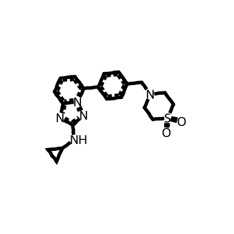 O=S1(=O)CCN(Cc2ccc(-c3cccc4nc(NC5CC5)nn34)cc2)CC1